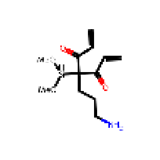 C=CC(=O)C(CCCN)(C(=O)C=C)[SiH](OC)OC